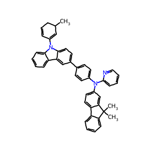 CC1C=C(n2c3ccccc3c3cc(-c4ccc(N(c5ccc6c(c5)C(C)(C)c5ccccc5-6)c5ccccn5)cc4)ccc32)C=CC1